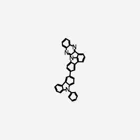 c1ccc(-n2c3ccccc3c3cc(-c4ccc5c(c4)c4cccc6c7nc8ccccc8nc7n5c46)ccc32)cc1